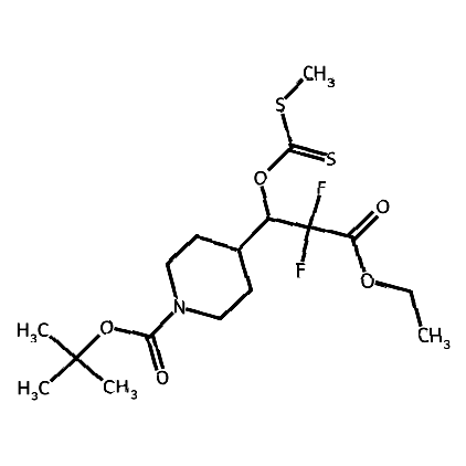 CCOC(=O)C(F)(F)C(OC(=S)SC)C1CCN(C(=O)OC(C)(C)C)CC1